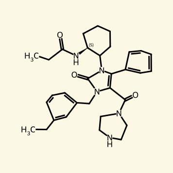 CCC(=O)N[C@H]1CCCCC1n1c(-c2ccccc2)c(C(=O)N2CCNCC2)n(Cc2cccc(CC)c2)c1=O